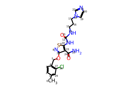 Cc1ccc(COc2nsc(NC(=O)NCCCn3ccnc3)c2C(N)=O)c(Cl)c1